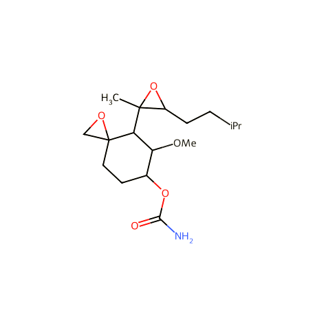 COC1C(OC(N)=O)CCC2(CO2)C1C1(C)OC1CCC(C)C